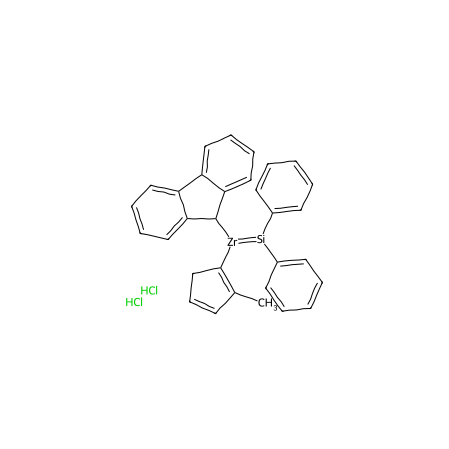 CC1=[C]([Zr]([CH]2c3ccccc3-c3ccccc32)=[Si](c2ccccc2)c2ccccc2)CC=C1.Cl.Cl